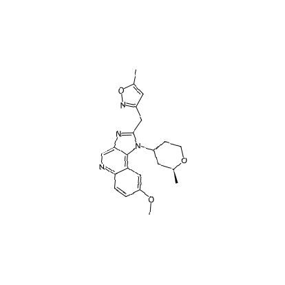 COc1ccc2ncc3nc(Cc4cc(C)on4)n(C4CCO[C@@H](C)C4)c3c2c1